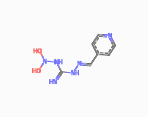 N=C(NN=Cc1ccncc1)NN(O)O